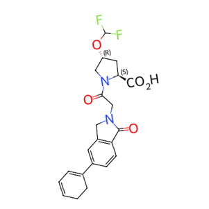 O=C(O)[C@@H]1C[C@@H](OC(F)F)CN1C(=O)CN1Cc2cc(C3=CC=CCC3)ccc2C1=O